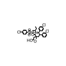 CCC(CNS(=O)(=O)c1ccc(Cl)cc1)N1C(=O)C(C)(CC(=O)O)CC(c2cccc(Cl)c2)C1c1ccc(Cl)cc1